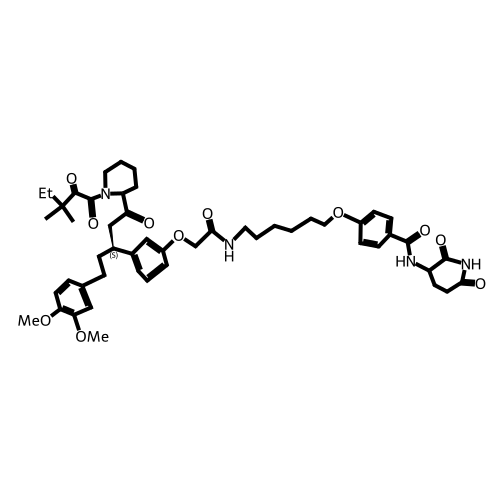 CCC(C)(C)C(=O)C(=O)N1CCCCC1C(=O)C[C@H](CCc1ccc(OC)c(OC)c1)c1cccc(OCC(=O)NCCCCCCOc2ccc(C(=O)NC3CCC(=O)NC3=O)cc2)c1